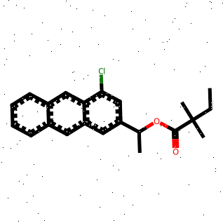 CCC(C)(C)C(=O)OC(C)c1cc(Cl)c2cc3ccccc3cc2c1